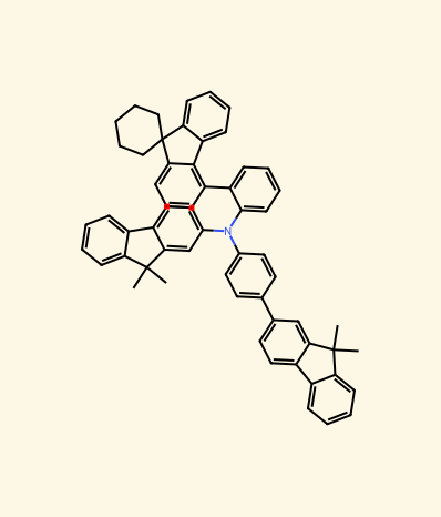 CC1(C)c2ccccc2-c2ccc(-c3ccc(N(c4ccc5c(c4)C(C)(C)c4ccccc4-5)c4ccccc4-c4cccc5c4-c4ccccc4C54CCCCC4)cc3)cc21